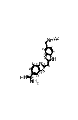 CC(=O)NCc1ccc2[nH]c(Cc3nc4ccc(C(=N)N)cc4s3)nc2c1